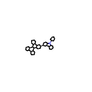 c1ccc(-n2c3ccccc3c3cc(-c4ccc5c(c4)c4ccccc4c4c6ccccc6c6ccccc6c54)ccc32)cc1